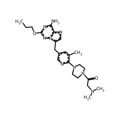 CCCOc1nc(N)c2ncc(Cc3cnc(N4CCN(C(=O)CN(C)C)CC4)c(C)c3)n2n1